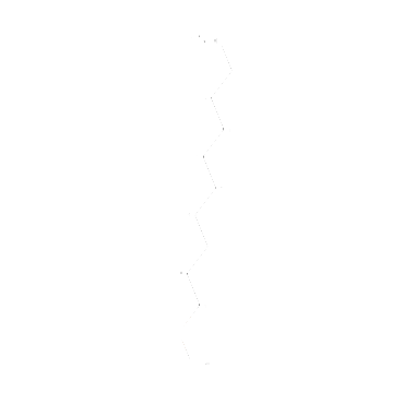 CCCCCCCCCCCCCCCCCCSCCCCC